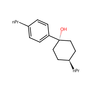 CCCc1ccc([C@]2(O)CC[C@H](CCC)CC2)cc1